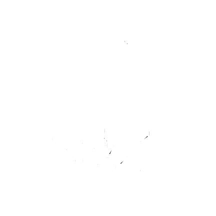 CC(C)(C)OC(=O)N[C@@H]1[C@@H](C/C=C\CCCC#N)C[C@H]2C[C@@H]1C2(C)C